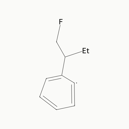 CCC(CF)c1[c]cccc1